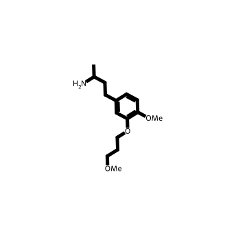 COCCCOc1cc(CCC(C)N)ccc1OC